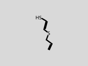 C=CCS/C=C/S